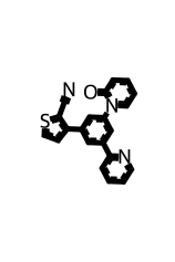 N#Cc1sccc1-c1cc(-c2ccccn2)cc(-n2ccccc2=O)c1